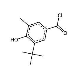 Cc1cc(C(=O)Cl)cc(C(C)(C)C)c1O